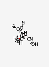 CC(C)(C)OC(=O)N1[C@@H]2CC[C@H]1C[C@H](c1cc(N(COCC[Si](C)(C)C)COCC[Si](C)(C)C)n3ncc(-c4ccc(C(C)(C)O)nc4)c3n1)C2